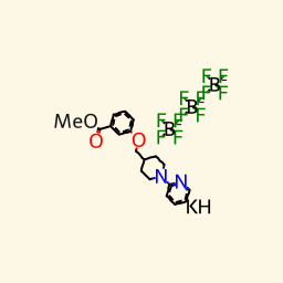 COC(=O)c1cccc(OCC2CCN(c3ccccn3)CC2)c1.F[B-](F)(F)F.F[B-](F)(F)F.F[B-](F)(F)F.[KH]